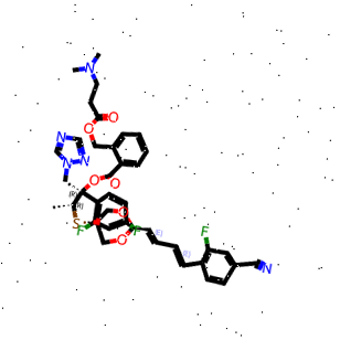 C[C@@H](S[C@H]1CO[C@H](/C=C/C=C/c2ccc(C#N)cc2F)OC1)[C@@](Cn1cncn1)(OC(=O)c1ccccc1COC(=O)CCN(C)C)c1ccc(F)cc1F